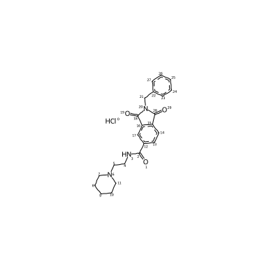 Cl.O=C(NCCN1CCCCC1)c1ccc2c(c1)C(=O)N(Cc1ccccc1)C2=O